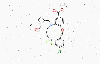 COC(=O)c1ccc2c(c1)N(C[C@@H]1CC[C@H]1C=O)CCCC(F)(F)c1cc(Cl)ccc1CO2